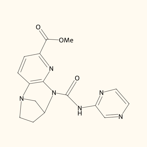 COC(=O)c1ccc2c(n1)N(C(=O)Nc1cnccn1)C1CCN2C1